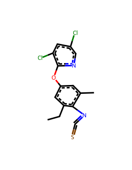 CCc1cc(Oc2ncc(Cl)cc2Cl)cc(C)c1N=C=S